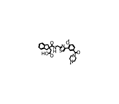 COc1ccc(C(=O)N2CCN(C)CC2)cc1-c1csc(CNC(=O)C2(CC(=O)O)Cc3ccccc3C2)n1